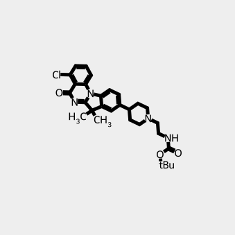 CC(C)(C)OC(=O)NCCN1CCC(c2ccc3c(c2)C(C)(C)c2nc(=O)c4c(Cl)cccc4n2-3)CC1